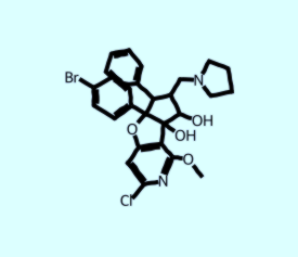 COc1nc(Cl)cc2c1C1(O)C(O)C(CN3CCCC3)C(c3ccccc3)C1(c1ccc(Br)cc1)O2